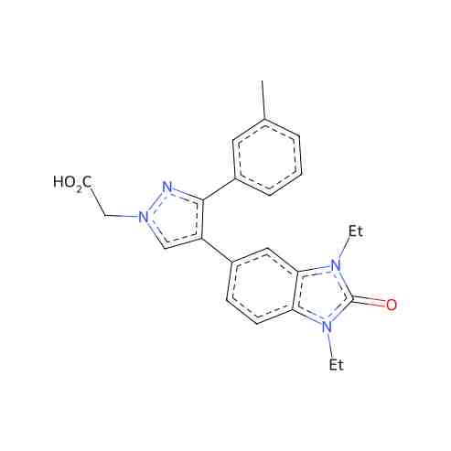 CCn1c(=O)n(CC)c2cc(-c3cn(CC(=O)O)nc3-c3cccc(C)c3)ccc21